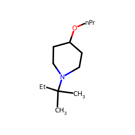 CCCOC1CCN(C(C)(C)CC)CC1